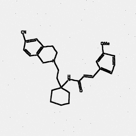 COc1cccc(C=CC(=O)NC2(CCN3CCc4cc(C#N)ccc4C3)CCCCC2)c1